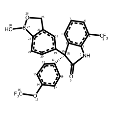 O=C1Nc2c(C(F)(F)F)cccc2[C@]1(c1ccc(OC(F)(F)F)cc1)c1ccc2c(c1)COB2O